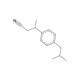 CC(C)Cc1ccc(C(C)CC#N)cc1